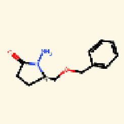 NN1C(=O)CC[C@@H]1COCc1ccccc1